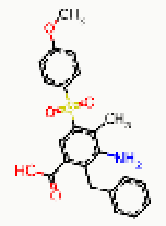 COc1ccc(S(=O)(=O)c2cc(C(=O)O)c(Cc3ccccc3)c(N)c2C)cc1